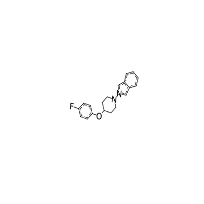 Fc1ccc(OC2CCN(n3cc4ccccc4c3)CC2)cc1